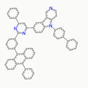 c1ccc(-c2ccc(-n3c4ccncc4c4cc(-c5cc(-c6ccccc6)nc(-c6cccc(-c7c8ccccc8c(-c8ccccc8)c8ccccc78)c6)n5)ccc43)cc2)cc1